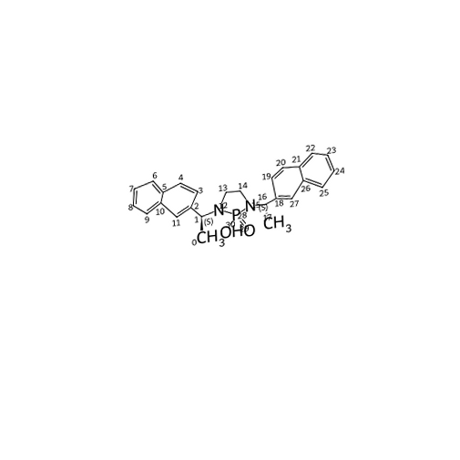 C[C@@H](c1ccc2ccccc2c1)N1CCN([C@@H](C)c2ccc3ccccc3c2)P1(=O)O